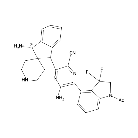 CC(=O)N1CC(F)(F)c2c(-c3nc(C#N)c(C4c5ccccc5[C@@H](N)C45CCNCC5)nc3N)cccc21